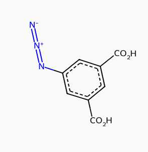 [N-]=[N+]=Nc1cc(C(=O)O)cc(C(=O)O)c1